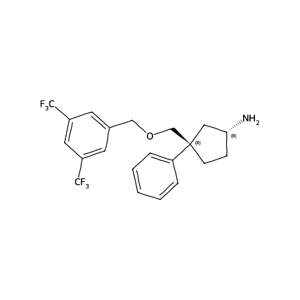 N[C@@H]1CC[C@](COCc2cc(C(F)(F)F)cc(C(F)(F)F)c2)(c2ccccc2)C1